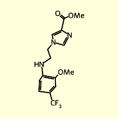 COC(=O)c1cn(CCNc2ccc(C(F)(F)F)cc2OC)cn1